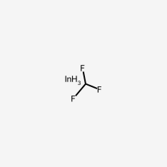 FC(F)F.[InH3]